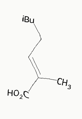 CCC(C)CC=C(C)C(=O)O